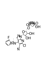 C[C@H](Nc1c(C#N)c(Cl)nc2c1cnn2[C@@H]1O[C@H](COP(=O)(O)CP(=O)(O)O)[C@@H](O)[C@H]1O)c1ccccc1F